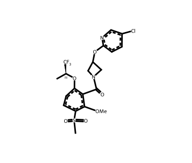 COc1c(S(C)(=O)=O)ccc(O[C@@H](C)C(F)(F)F)c1C(=O)N1CC(Oc2ccc(Cl)cn2)C1